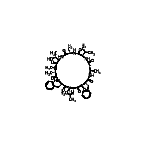 CC(C)C[C@H]1C(=O)N(C)[C@@H](Cc2ccccc2)C(=O)N[C@H](C)CC(=O)N[C@H](C(C)C)C(=O)N[C@@H](C)C(=O)N[C@@H]([C@@H](C)O)C(=O)N(C)[C@@H](C)C(=O)N[C@@H](Cc2ccccc2)C(=O)N1C